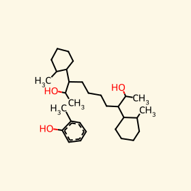 CC(O)C(CCCCC(C(C)O)C1CCCCC1C)C1CCCCC1C.Cc1ccccc1O